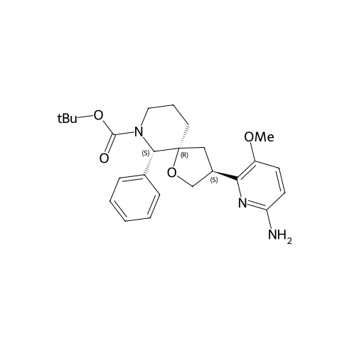 COc1ccc(N)nc1[C@H]1CO[C@]2(CCCN(C(=O)OC(C)(C)C)[C@H]2c2ccccc2)C1